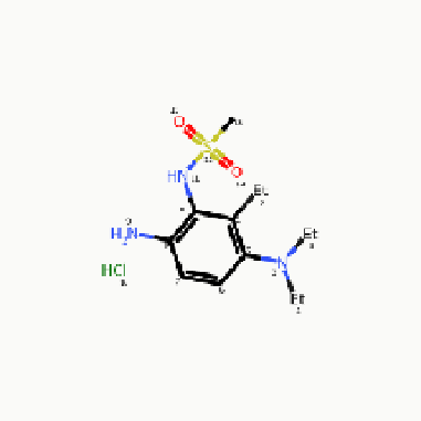 CCc1c(N(CC)CC)ccc(N)c1NS(C)(=O)=O.Cl